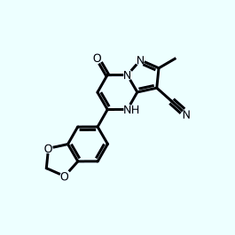 Cc1nn2c(=O)cc(-c3ccc4c(c3)OCO4)[nH]c2c1C#N